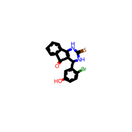 O=C1C2=C(NC(=S)NC2c2cc(O)ccc2Br)c2ccccc21